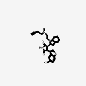 C#CCCN(C)CCn1c(C2=C(c3csc4ccc(Cl)cc34)C(=O)NC2=O)cc2ccccc21